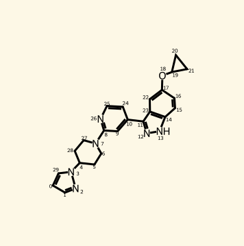 c1cnn(C2CCN(c3cc(-c4n[nH]c5ccc(OC6CC6)cc45)ccn3)CC2)c1